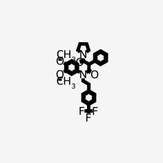 COc1ccc(N(CCc2ccc(C(F)(F)F)cc2)C(=O)C(C(=O)N2CCCC2)c2ccccc2)cc1OC